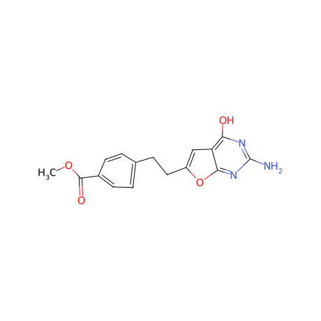 COC(=O)c1ccc(CCc2cc3c(O)nc(N)nc3o2)cc1